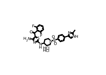 Cc1nc(-c2ccc(S(=O)(=O)N3CCC(Nc4nc(N)c(C(=O)c5c(F)cccc5F)s4)CC3)cc2)c[nH]1.Cl.Cl